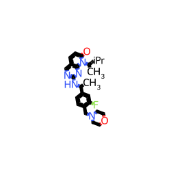 CC(Nc1ncc2ccc(=O)n(C(C)C(C)C)c2n1)c1ccc(CN2CCOCC2)c(F)c1